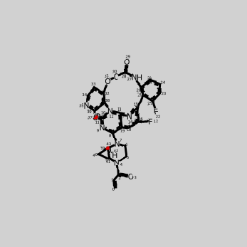 C=CC(=O)N1CCN(c2nc(=O)n3c4nc(c(F)cc24)-c2c(F)cccc2NC(=O)COc2ccnc(C(C)C)c2-3)[C@@H]2C[C@@H]21